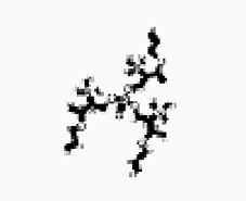 C=CCOC(C)C(COP(=O)(OCC(C(C)OCC=C)[N+](C)(C)C)OCC(C(C)OCC=C)[N+](C)(C)C)[N+](C)(C)C